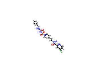 O=C(NCC1CC2C=CC1C2)NS(=O)(=O)N1CCC(CCNC(=O)c2cc(Cl)ccn2)CC1